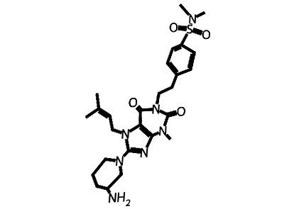 CC(C)=CCn1c(N2CCCC(N)C2)nc2c1c(=O)n(CCc1ccc(S(=O)(=O)N(C)C)cc1)c(=O)n2C